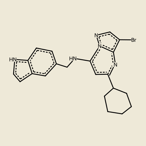 Brc1cnn2c(NCc3ccc4[nH]ccc4c3)cc(C3CCCCC3)nc12